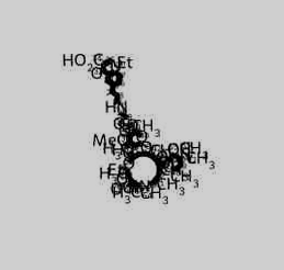 CC[C@H]1OC(=O)[C@H](C)[C@@H](O[C@H]2C[C@@](C)(OC)[C@@H](OS(=O)(=O)CCNCCCc3ccc4c(c3)c(=O)c(C(=O)O)cn4CC)[C@H](C)O2)[C@H](C)[C@@H](O[C@@H]2O[C@H](C)C[C@H](N(C)C)[C@H]2O)[C@](C)(O)C[C@@H](C)CN(C)[C@H](C)[C@H]2OC(=O)O[C@@]21C